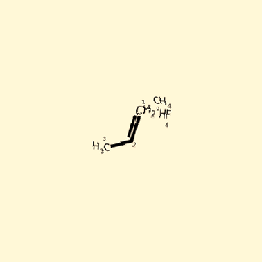 C.C=CC.F